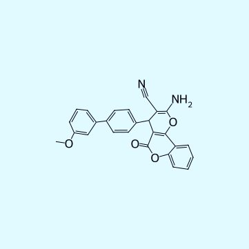 COc1cccc(-c2ccc(C3C(C#N)=C(N)Oc4c3c(=O)oc3ccccc43)cc2)c1